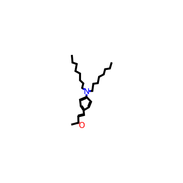 CCCCCCCCN(CCCCCCCC)c1ccc(/C=C/C(C)=O)cc1